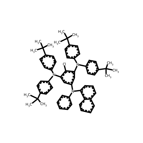 CC(C)(C)c1ccc(N(c2ccc(C(C)(C)C)cc2)c2cc(N(c3ccccc3)c3cccc4ccccc34)cc(N(c3ccc(C(C)(C)C)cc3)c3ccc(C(C)(C)C)cc3)c2Cl)cc1